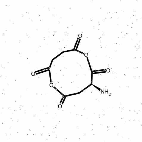 N[C@H]1CC(=O)OC(=O)CCC(=O)OC1=O